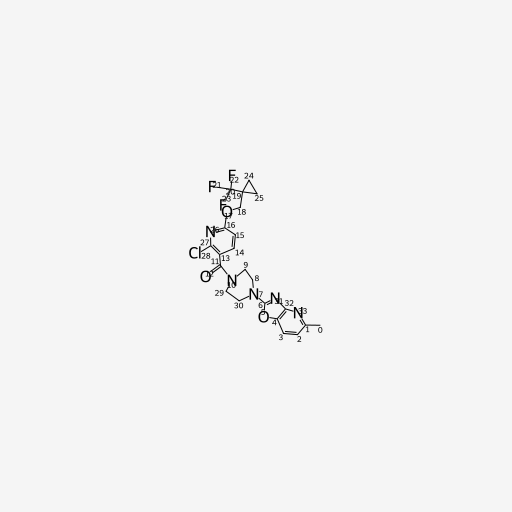 Cc1ccc2oc(N3CCN(C(=O)c4ccc(OCC5(C(F)(F)F)CC5)nc4Cl)CC3)nc2n1